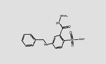 CNS(=O)(=O)c1ccc(NCc2ccccc2)cc1C(=O)NNC(C)=O